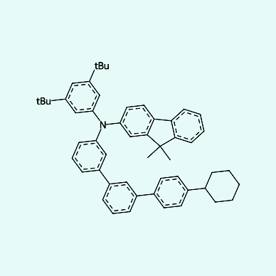 CC(C)(C)c1cc(N(c2cccc(-c3cccc(-c4ccc(C5CCCCC5)cc4)c3)c2)c2ccc3c(c2)C(C)(C)c2ccccc2-3)cc(C(C)(C)C)c1